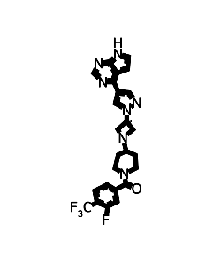 O=C(c1ccc(C(F)(F)F)c(F)c1)N1CCC(N2C[C](n3cc(-c4ncnc5[nH]ccc45)cn3)C2)CC1